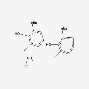 CCCCc1cccc(C)c1O.CCCCc1cccc(C)c1O.C[CH2][AlH2]